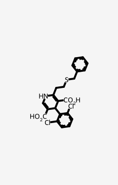 O=C(O)C1=CNC(CCSCc2ccccc2)=C(C(=O)O)C1c1c(Cl)cccc1Cl